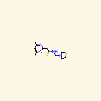 Cc1cc(C)nc(CC(=S)NCN2CCCC2)n1